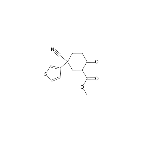 COC(=O)C1CC(C#N)(c2ccsc2)CCC1=O